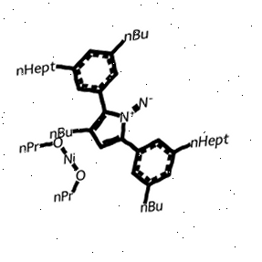 CCCCCCCc1cc(CCCC)cc(C2=CC(CCCC)=C(c3cc(CCCC)cc(CCCCCCC)c3)[N+]2=[N-])c1.CCC[O][Ni][O]CCC